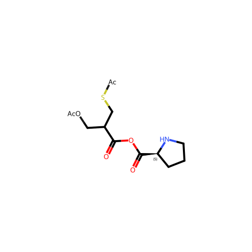 CC(=O)OCC(CSC(C)=O)C(=O)OC(=O)[C@@H]1CCCN1